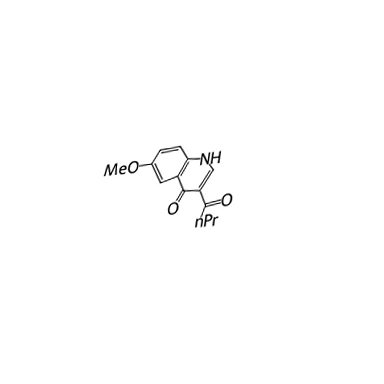 CCCC(=O)c1c[nH]c2ccc(OC)cc2c1=O